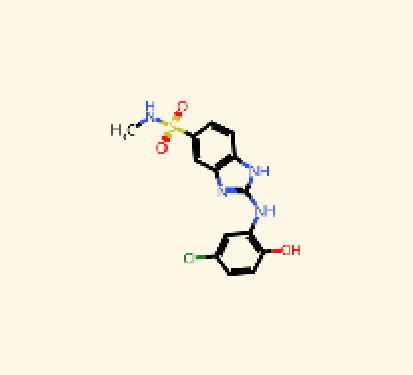 CNS(=O)(=O)c1ccc2[nH]c(Nc3cc(Cl)ccc3O)nc2c1